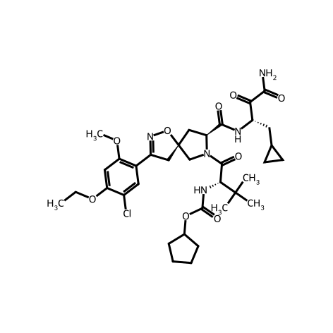 CCOc1cc(OC)c(C2=NO[C@]3(C2)C[C@@H](C(=O)N[C@@H](CC2CC2)C(=O)C(N)=O)N(C(=O)[C@@H](NC(=O)OC2CCCC2)C(C)(C)C)C3)cc1Cl